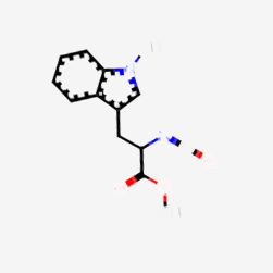 COC(=O)C(Cc1cn(C)c2ccccc12)N=C=O